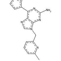 Cc1cccc(Cn2cnc3c(-c4ccco4)nc(N)nc32)n1